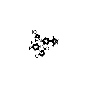 Cc1noc(C)c1-c1ccc(NC2CC(O)C2)c(NC(=O)[C@@H]2CCC(=O)N2c2ccc(F)c(F)c2)c1